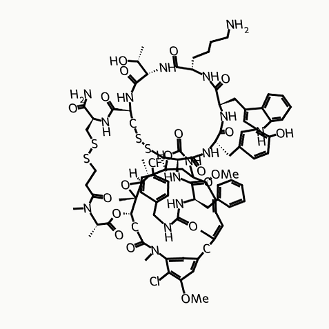 COc1cc2cc(c1Cl)N(C)C(=O)C[C@H](OC(=O)[C@H](C)N(C)C(=O)CCSSC[C@H](NC(=O)[C@@H]1CSSC[C@H](NC(=O)[C@@H](Cc3ccccc3)NC(=O)NCc3ccc(C(F)(F)F)cc3)C(=O)N[C@@H](Cc3ccc(O)cc3)C(=O)N[C@H](Cc3c[nH]c4ccccc34)C(=O)N[C@@H](CCCCN)C(=O)N[C@@H]([C@@H](C)O)C(=O)N1)C(N)=O)[C@]1(C)O[C@H]1[C@H](C)[C@@H]1CC(NC(=O)O1)[C@H](OC)/C=C/C=C(\C)C2